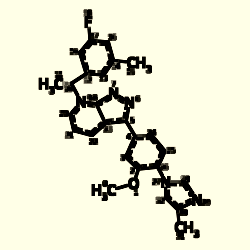 COc1cc(-c2nnc3n([C@H](C)c4cc(C)cc(F)c4)cccc2-3)ccc1-n1cnc(C)c1